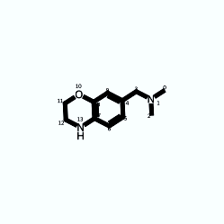 CN(C)Cc1ccc2c(c1)OCCN2